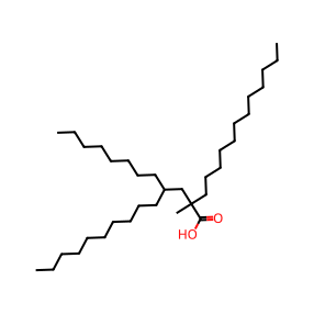 CCCCCCCCCCCCC(C)(CC(CCCCCCCC)CCCCCCCCCC)C(=O)O